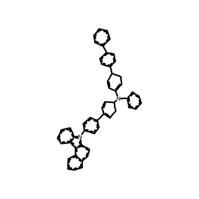 C1=CC(N(C2=CCC(c3ccc(-c4ccccc4)cc3)C=C2)c2ccccc2)CC=C1c1ccc(-n2c3ccccc3c3c4ccccc4ccc32)cc1